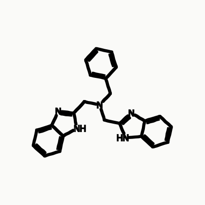 c1ccc(CN(Cc2nc3ccccc3[nH]2)Cc2nc3ccccc3[nH]2)cc1